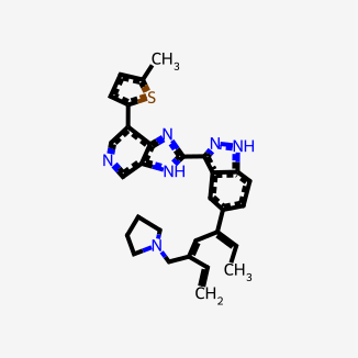 C=C/C(=C\C(=C/C)c1ccc2[nH]nc(-c3nc4c(-c5ccc(C)s5)cncc4[nH]3)c2c1)CN1CCCC1